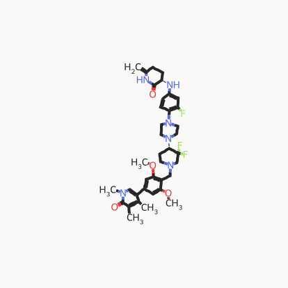 C=C1CC[C@H](Nc2ccc(N3CCN([C@H]4CCN(Cc5c(OC)cc(-c6cn(C)c(=O)c(C)c6C)cc5OC)CC4(F)F)CC3)c(F)c2)C(=O)N1